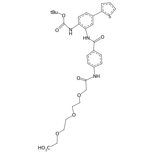 CC(C)(C)OC(=O)Nc1ccc(-c2cccs2)cc1NC(=O)c1ccc(NC(=O)COCCOCCOCC(=O)O)cc1